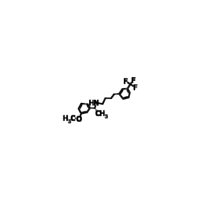 COc1cccc([C@@H](C)NCCCCc2cccc(C(F)(F)F)c2)c1